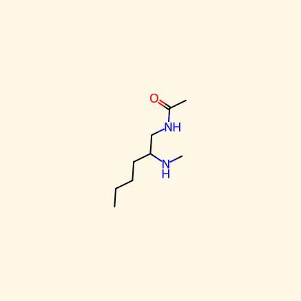 CCCCC(CNC(C)=O)NC